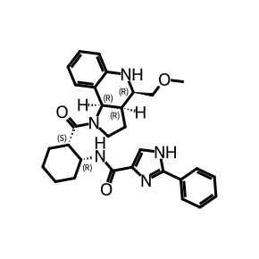 COC[C@@H]1Nc2ccccc2[C@H]2[C@@H]1CCN2C(=O)[C@H]1CCCC[C@H]1NC(=O)c1c[nH]c(-c2ccccc2)n1